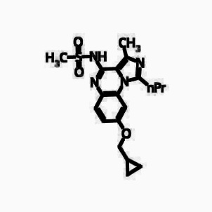 CCCc1nc(C)c2c(NS(C)(=O)=O)nc3ccc(OCC4CC4)cc3n12